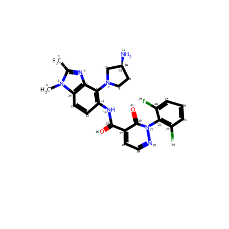 Cn1c(C(F)(F)F)nc2c(N3CC[C@H](N)C3)c(NC(=O)c3ccnn(-c4c(F)cccc4F)c3=O)ccc21